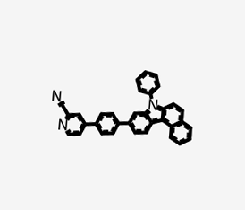 N#Cc1cc(-c2ccc(-c3ccc4c5c6ccccc6ccc5n(-c5ccccc5)c4c3)cc2)ccn1